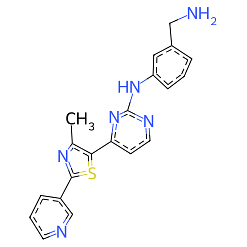 Cc1nc(-c2cccnc2)sc1-c1ccnc(Nc2cccc(CN)c2)n1